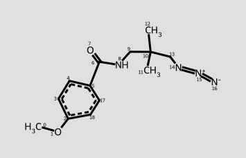 COc1ccc(C(=O)NCC(C)(C)CN=[N+]=[N-])cc1